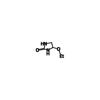 CCOC1CNC(=O)N1